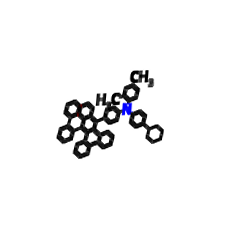 Cc1ccc(N(c2ccc(-c3c4ccccc4c(-c4ccccc4-c4ccccc4)c4c5ccccc5c5ccccc5c34)cc2)c2ccc(C3CCCCC3)cc2)c(C)c1